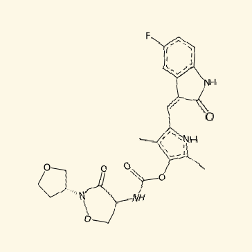 Cc1[nH]c(/C=C2\C(=O)Nc3ccc(F)cc32)c(C)c1OC(=O)NC1CON([C@@H]2CCOC2)C1=O